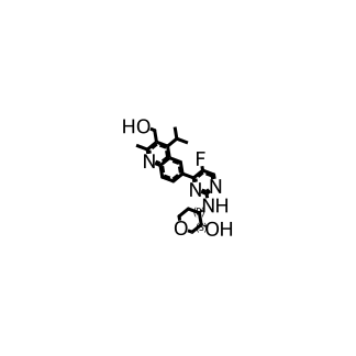 Cc1nc2ccc(-c3nc(N[C@@H]4CCOC[C@H]4O)ncc3F)cc2c(C(C)C)c1CO